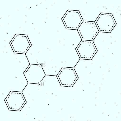 C1=C(c2ccccc2)NC(c2cccc(-c3ccc4c5ccccc5c5ccccc5c4c3)c2)NC1c1ccccc1